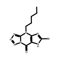 CCCCCn1c2nc(Br)[nH]c2c(=O)n2nnnc12